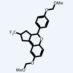 COCOC1=CC2=C3CC(C(F)(F)F)CC3C(c3ccc(OCOC)cc3)OC2C=C1